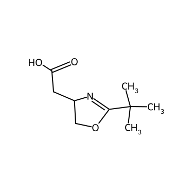 CC(C)(C)C1=NC(CC(=O)O)CO1